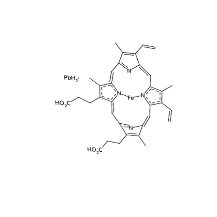 C=CC1=C(C)C2=NC/1=C\c1c(C)c(C=C)c3[n]1[Fe][n]1/c(c(C)c(CCC(=O)O)/c1=C/C1=NC(=C\3)/C(C)=C1CCC(=O)O)=C\2.[PbH2]